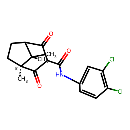 CC1(C)C2CC[C@]1(C)C(=O)C(C(=O)Nc1ccc(Cl)c(Cl)c1)C2=O